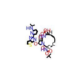 CC(C)Nc1cccc(-c2nc(O[C@@H]3C[C@H]4C(=O)N[C@]5(C(=O)O)C[C@H]5C=CCCCCC[C@H](NC(=O)OC(C)(C)C)C(=O)N4C3)c3sccc3n2)n1